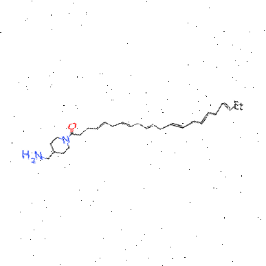 CCC=CCC=CCC=CCC=CCC=CCC=CCCC(=O)N1CCC(CN)CC1